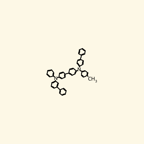 Cc1ccc(N(c2ccc(-c3ccccc3)cc2)c2ccc(-c3ccc(N(c4ccccc4)c4cccc(-c5ccccc5)c4)cc3)cc2)cc1